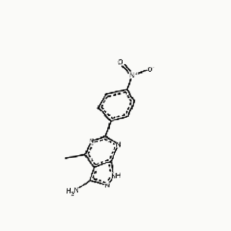 Cc1nc(-c2ccc([N+](=O)[O-])cc2)nc2[nH]nc(N)c12